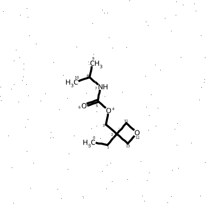 CCC1(COC(=O)NC(C)C)COC1